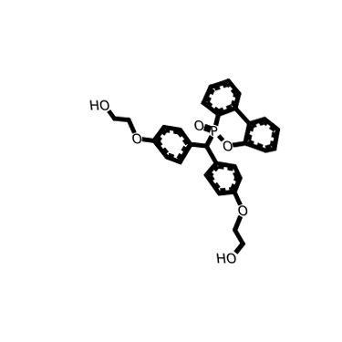 O=P1(C(c2ccc(OCCO)cc2)c2ccc(OCCO)cc2)Oc2ccccc2-c2ccccc21